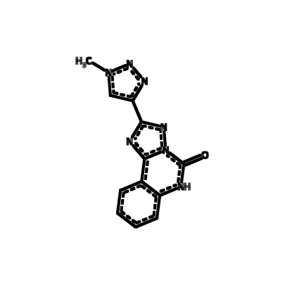 Cn1cc(-c2nc3c4ccccc4[nH]c(=O)n3n2)nn1